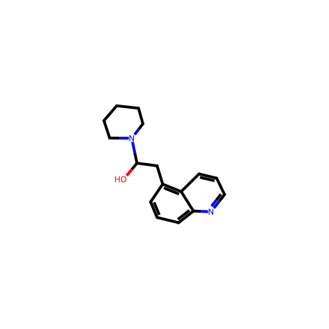 OC(Cc1cccc2ncccc12)N1CCCCC1